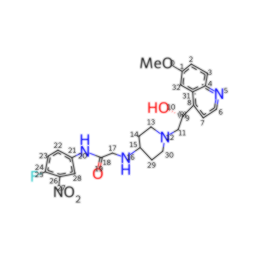 COc1ccc2nccc([C@@H](O)CN3CCC(NCC(=O)Nc4ccc(F)c([N+](=O)[O-])c4)CC3)c2c1